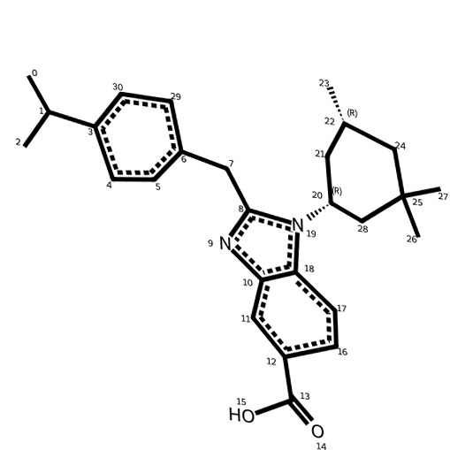 CC(C)c1ccc(Cc2nc3cc(C(=O)O)ccc3n2[C@@H]2C[C@H](C)CC(C)(C)C2)cc1